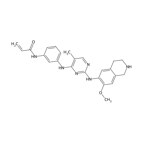 C=CC(=O)Nc1cccc(Nc2nc(Nc3cc4c(cc3OC)CNCC4)ncc2C)c1